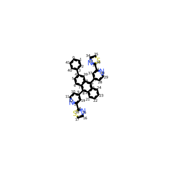 c1ccc(-c2ccc3c(-c4ccnc(-c5nccs5)c4)c4ccccc4c(-c4ccnc(-c5nccs5)c4)c3c2)cc1